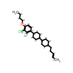 C/C=C/CCC1CCC(C2CCC(c3ccc(OCCCC)c(Cl)c3F)CC2)CC1